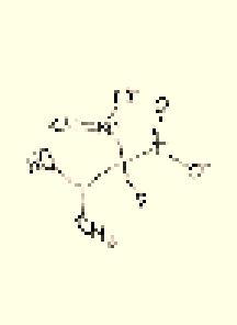 CC(O)C(F)([N+](=O)[O-])[N+](=O)[O-]